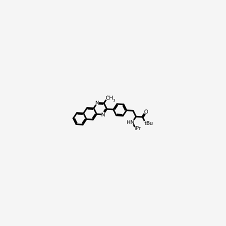 Cc1nc2cc3ccccc3cc2nc1-c1ccc(CC(NC(C)C)C(=O)C(C)(C)C)cc1